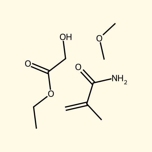 C=C(C)C(N)=O.CCOC(=O)CO.COC